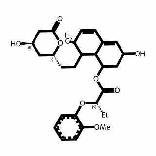 CC[C@H](Oc1ccccc1OC)C(=O)OC1CC(O)C=C2C=CC(C)C(CC[C@@H]3C[C@@H](O)CC(=O)O3)C21